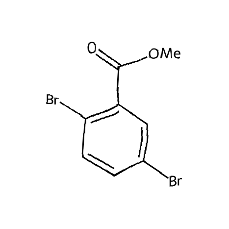 COC(=O)c1cc(Br)ccc1Br